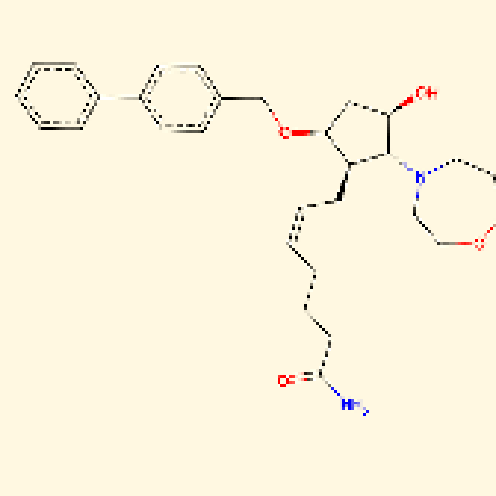 NC(=O)CCC/C=C\C[C@@H]1[C@@H](N2CCCOCC2)[C@H](O)C[C@@H]1OCc1ccc(-c2ccccc2)cc1